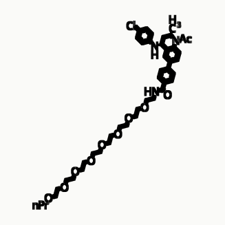 CCCOCCOCCOCCOCCOCCOCCOCCOCCNC(=O)c1ccc(-c2ccc3c(c2)[C@H](Nc2ccc(Cl)cc2)C[C@H](C)N3C(C)=O)cc1